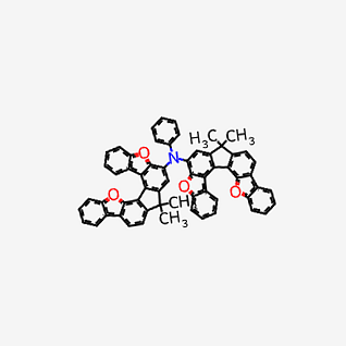 CC1(C)c2ccc3c(oc4ccccc43)c2-c2c1cc(N(c1ccccc1)c1cc3c(c4c1oc1ccccc14)-c1c(ccc4c1oc1ccccc14)C3(C)C)c1oc3ccccc3c21